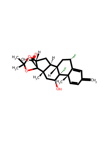 C=C1C=C[C@@]2(C)C(=C1)[C@@H](F)C[C@H]1[C@@H]3C[C@H]4OC(C)(C)O[C@@]4(C(=O)C=O)[C@@]3(C)C[C@H](O)[C@@]12F